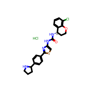 Cl.O=C(Nc1csc(-c2ccc(C3CCCN3)cc2)n1)N[C@H]1CCOc2c(Cl)cccc21